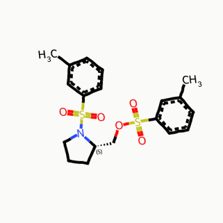 Cc1cccc(S(=O)(=O)OC[C@@H]2CCCN2S(=O)(=O)c2cccc(C)c2)c1